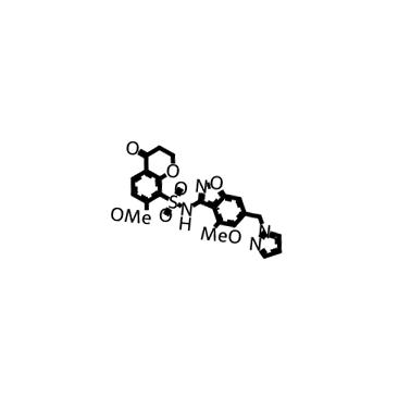 COc1ccc2c(c1S(=O)(=O)Nc1noc3cc(Cn4cccn4)cc(OC)c13)OCCC2=O